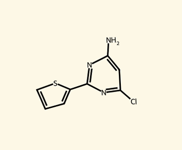 Nc1cc(Cl)nc(-c2cccs2)n1